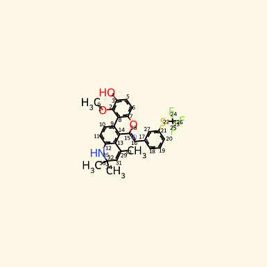 COc1c(O)ccc2c1-c1ccc3c(c1/C(=C/c1cccc(SC(F)(F)F)c1)O2)C(C)=CC(C)(C)N3